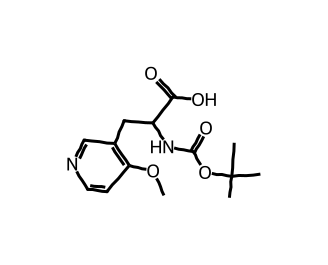 COc1ccncc1CC(NC(=O)OC(C)(C)C)C(=O)O